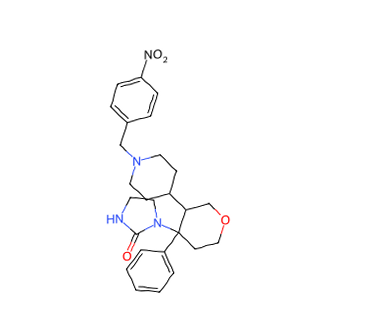 O=C1NCCN1C1(c2ccccc2)CCOCC1C1CCN(Cc2ccc([N+](=O)[O-])cc2)CC1